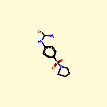 CC(C)C(N)Nc1ccc(S(=O)(=O)N2CCCC2)cc1